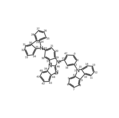 c1cc(-n2c3ccccc3c3ccccc32)cc(-n2c3ccc(-n4c5ccccc5c5ccccc54)cc3n3c4ccccc4nc23)c1